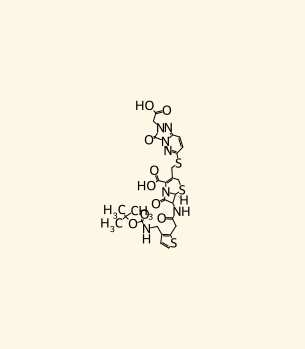 CC(C)(C)OC(=O)NCc1ccsc1CC(=O)NC1C(=O)N2C(C(=O)O)=C(CSc3ccc4nn(CC(=O)O)c(=O)n4n3)CS[C@@H]12